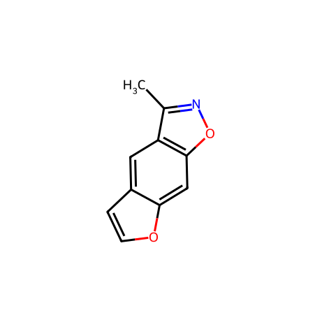 Cc1noc2cc3occc3cc12